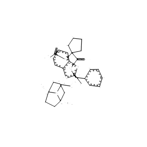 Cc1nc2ccccc2n1[C@@H]1C[C@H]2CC[C@@H](C1)N2CC[C@H](NC(=O)C1(NC(=O)O)CCCC1)c1ccccc1